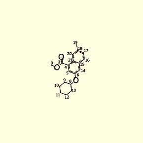 COC(=O)c1cc(OC2CCCCC2)cc2ccc(C)cc12